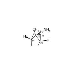 C[C@H]1[C@@H]2CC[C@H]1[C@@H](N)C2